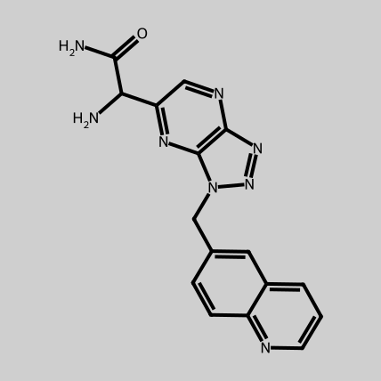 NC(=O)C(N)c1cnc2nnn(Cc3ccc4ncccc4c3)c2n1